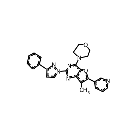 Cc1c(-c2cccnc2)oc2c(N3CCOCC3)nc(-n3ccc(-c4ccccc4)n3)nc12